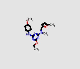 CCOc1nc(Nc2ccc(OC)cc2)nc(N(C)Cc2ccc(C)o2)n1